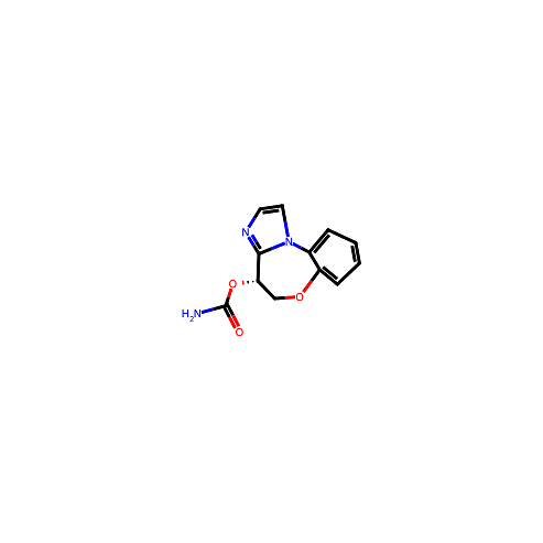 NC(=O)O[C@H]1COc2ccccc2-n2ccnc21